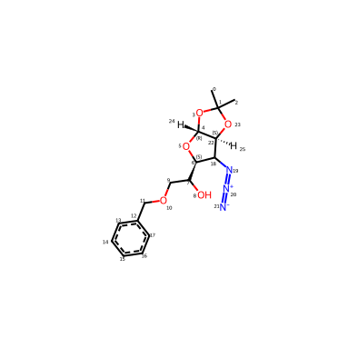 CC1(C)O[C@H]2O[C@H](C(O)COCc3ccccc3)C(N=[N+]=[N-])[C@@H]2O1